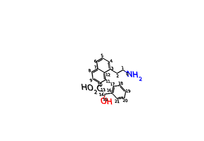 NCCc1cccc2ccccc12.O=C(O)[C@@H](O)c1ccccc1